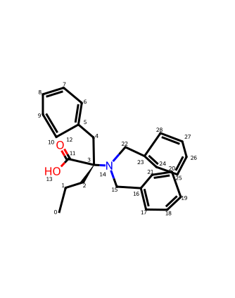 CCC[C@](Cc1ccccc1)(C(=O)O)N(Cc1ccccc1)Cc1ccccc1